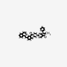 Cn1c(=O)c2cnc(N3CCN(C(=O)c4cc(Cc5nncc6ccccc56)ccc4F)CC3)nc2n1-c1ccccn1